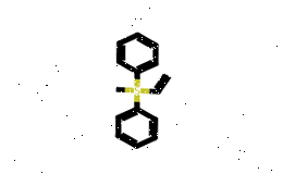 C=CS(C)(c1ccccc1)c1ccccc1